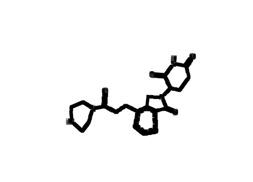 O=C1CCC(N2Cc3c(CCC(=O)N4CCNCC4)cccc3C2=O)C(=O)N1